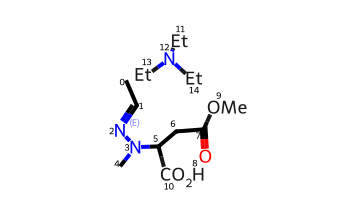 C/C=N/N(C)C(CC(=O)OC)C(=O)O.CCN(CC)CC